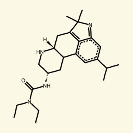 CCN(CC)C(=O)N[C@@H]1CN[C@@H]2CC3=c4c(cc(C(C)C)cc4=NC3(C)C)C2C1